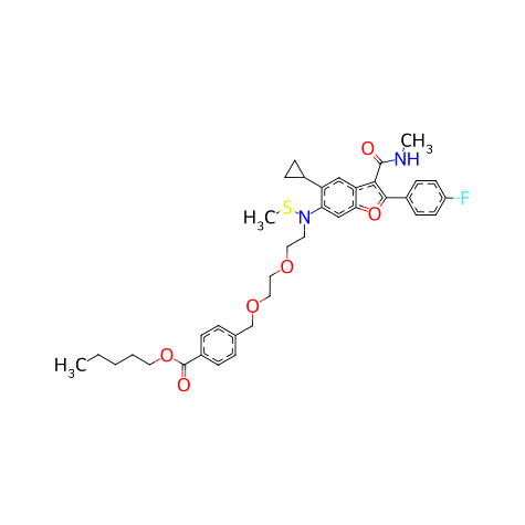 CCCCCOC(=O)c1ccc(COCCOCCN(SC)c2cc3oc(-c4ccc(F)cc4)c(C(=O)NC)c3cc2C2CC2)cc1